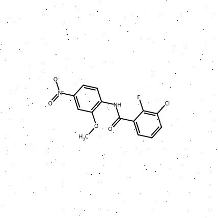 COc1cc([N+](=O)[O-])ccc1NC(=O)c1cccc(Cl)c1F